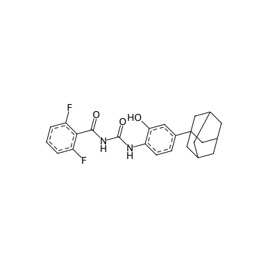 O=C(NC(=O)c1c(F)cccc1F)Nc1ccc(C23CC4CC(CC(C4)C2)C3)cc1O